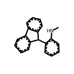 CNc1ccccc1C1c2ccccc2-c2ccccc21